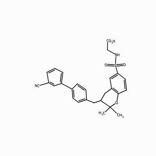 CC1(C)Oc2ccc(S(=O)(=O)NCC(=O)O)cc2CC1Cc1ccc(-c2cccc(C#N)c2)cc1